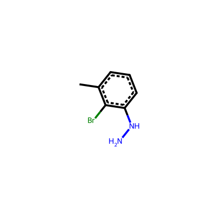 Cc1cccc(NN)c1Br